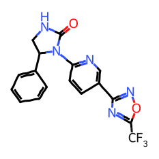 O=C1NCC(c2ccccc2)N1c1ccc(-c2noc(C(F)(F)F)n2)cn1